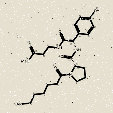 CCCCCCCCCCCCCCCC(=O)N1CCC[C@H]1C(=O)N[C@H](C(=O)NCCC(=O)OC)c1ccc(O)cc1